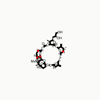 C=C1C[C@@H]2CC[C@]34CC[C@H](O3)[C@]3(C)O[C@H]5CC[C@H](CC(=O)CC6[C@H](CC7O[C@@H](CCC1O2)C[C@@H](C)C7=C)O[C@H](C[C@H](O)CO)[C@@H]6C)O[C@@H]5[C@H](O4)[C@@H]3OC